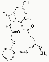 COC(=O)CC[S+]([O-])C=C(C)C1C(NC(=O)COc2ccccc2C#N)C(=O)N1CC(=O)O